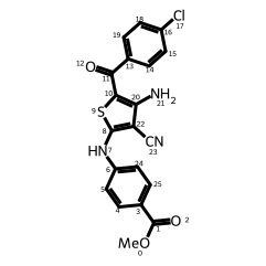 COC(=O)c1ccc(Nc2sc(C(=O)c3ccc(Cl)cc3)c(N)c2C#N)cc1